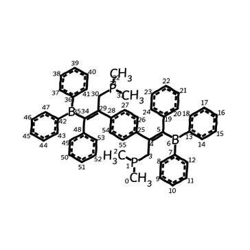 CP(C)C/C(=C(\B(c1ccccc1)c1ccccc1)c1ccccc1)c1ccc(/C(CP(C)C)=C(/B(c2ccccc2)c2ccccc2)c2ccccc2)cc1